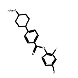 CCCCCC1CCC(c2ccc(C(=O)Oc3ccc(F)cc3F)cc2)CC1